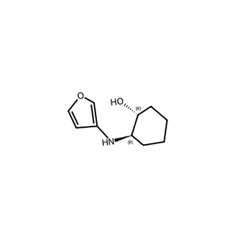 O[C@@H]1CCCC[C@H]1Nc1ccoc1